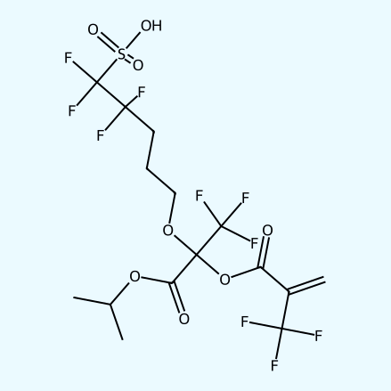 C=C(C(=O)OC(OCCCC(F)(F)C(F)(F)S(=O)(=O)O)(C(=O)OC(C)C)C(F)(F)F)C(F)(F)F